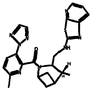 Cc1ccc(-n2nccn2)c(C(=O)N2C3CC(C3)[C@@H](C)C2CNc2nc3cccnc3s2)n1